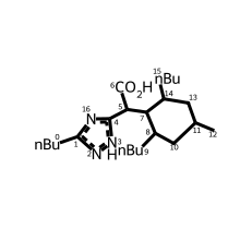 CCCCc1n[nH]c(C(C(=O)O)C2C(CCCC)CC(C)CC2CCCC)n1